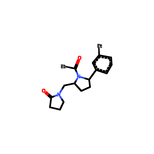 CCC(=O)N1C(CN2CCCC2=O)CCC1c1cccc(CC)c1